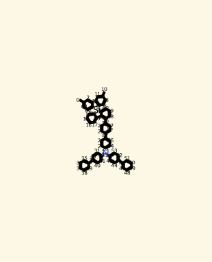 Cc1ccc([Si]2(c3ccc(C)cc3)c3ccccc3-c3c(-c4ccc(-c5ccc(N(c6ccc(-c7ccccc7)cc6)c6ccc(-c7ccccc7)cc6)cc5)cc4)cccc32)cc1